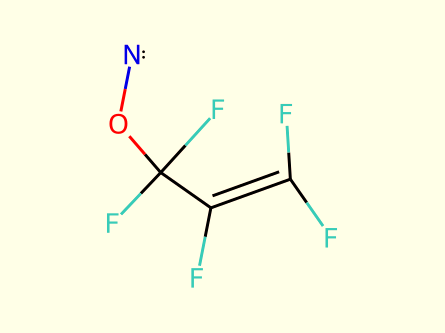 [N]OC(F)(F)C(F)=C(F)F